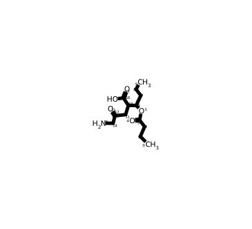 CCCC(=O)OC(CCC)C(CC(=O)CN)C(=O)O